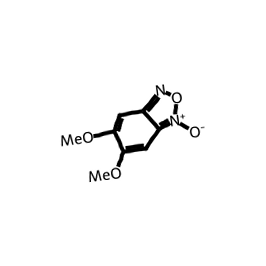 COc1cc2no[n+]([O-])c2cc1OC